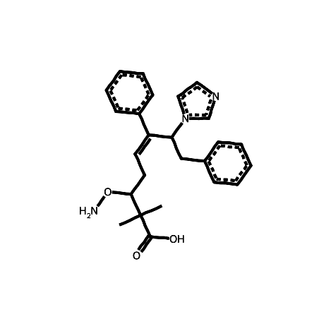 CC(C)(C(=O)O)C(CC=C(c1ccccc1)C(Cc1ccccc1)n1ccnc1)ON